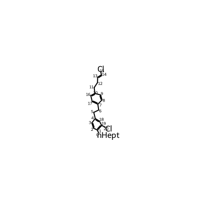 CCCCCCCc1ccc(CCc2ccc(CCC=CCl)cc2)cc1Cl